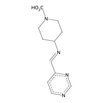 O=C(O)N1CCC(N=Cc2ccncn2)CC1